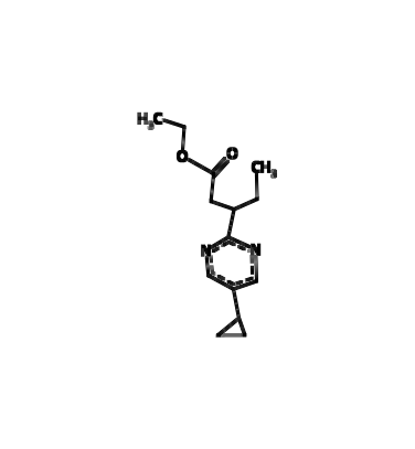 CCOC(=O)CC(CC)c1ncc(C2CC2)cn1